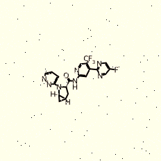 O=C(Nc1cc(-c2ncc(F)cn2)c(C(F)(F)F)cn1)[C@H]1C[C@H]2C[C@H]2N1c1cccnn1